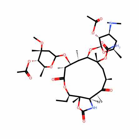 CC[C@H]1OC(=O)[C@H](C)[C@@H](OC2C[C@@](C)(OC)[C@@H](OC(C)=O)[C@H](C)O2)[C@H](C)[C@@H](O[C@@H]2O[C@H](C)C[C@H](N(C)C)[C@H]2OC(C)=O)[C@](C)(OC(N)=O)C[C@@H](C)C(=O)[C@H](C)[C@H]2NC(=O)O[C@@]21C